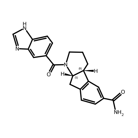 NC(=O)c1ccc2c(c1)[C@H]1CCCN(C(=O)c3ccc4[nH]cnc4c3)[C@H]1C2